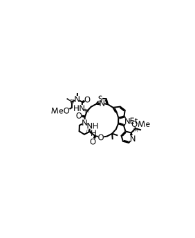 CCn1c(-c2cccnc2[C@H](C)OC)c2c3cc(ccc31)-c1csc(n1)C[C@H](NC(=O)N(C)[C@H](C)COC)C(=O)N1CCC[C@H](N1)C(=O)OCC(C)(C)C2